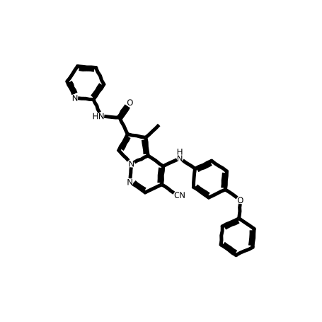 Cc1c(C(=O)Nc2ccccn2)cn2ncc(C#N)c(Nc3ccc(Oc4ccccc4)cc3)c12